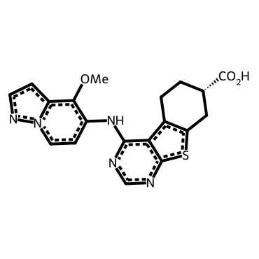 COc1c(Nc2ncnc3sc4c(c23)CC[C@H](C(=O)O)C4)ccn2nccc12